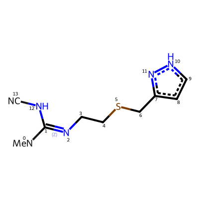 CN/C(=N/CCSCc1cc[nH]n1)NC#N